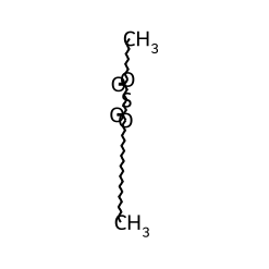 CCCCCCCCCCCCCCCCCCCCOC(=O)CCSCCC(=O)OCCCCCCCC